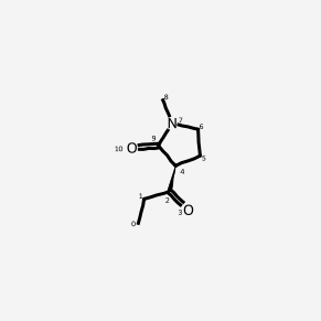 CCC(=O)[C@@H]1CCN(C)C1=O